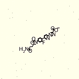 CCOC(=O)c1cn(-c2ccc(-c3ccc(N4CC(CCC(N)=O)OC4=O)cc3F)cn2)cn1